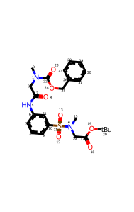 CN(CC(=O)Nc1cccc(S(=O)(=O)N(C)CC(=O)OC(C)(C)C)c1)C(=O)OCc1ccccc1